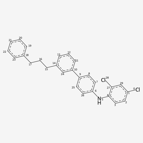 Clc1ccc(Nc2ccc(-c3[c]ccc(CCCc4ccccc4)c3)cc2)c(Cl)c1